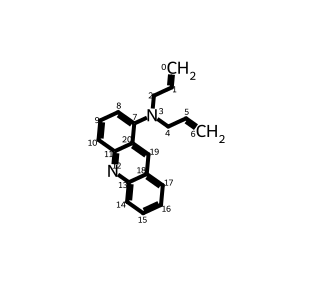 C=CCN(CC=C)c1cccc2nc3ccccc3cc12